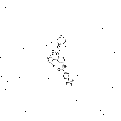 Cn1ncc(Br)c1-c1cc(NC(=O)c2ccc(C(F)(F)F)cc2)ccc1OCCN1CCCOCC1